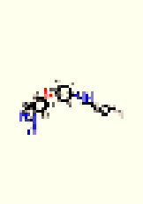 CCCCN[C@H]1CC[C@H](Oc2ccc3[nH]ncc3c2)CC1